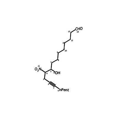 CCCCCC#CCC(C(O)CCCCCCCC=O)[N+](=O)[O-]